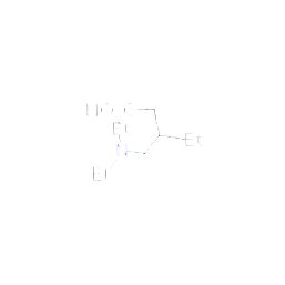 CCC(CC(=O)O)CN(CC)CC